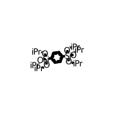 CC(C)O[Si](OC(C)C)(OC(C)C)c1ccc([Si](OC(C)C)(OC(C)C)OC(C)C)cc1